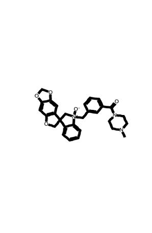 CN1CCN(C(=O)c2cccc(C[N+]3([O-])CC4(COc5cc6c(cc54)OCO6)c4ccccc43)c2)CC1